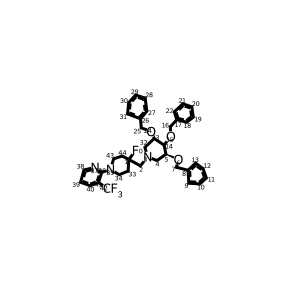 FC1(CN2C[C@H](OCc3ccccc3)C(OCc3ccccc3)[C@H](OCc3ccccc3)C2)CCN(c2ncccc2C(F)(F)F)CC1